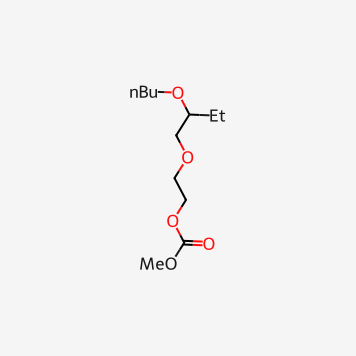 CCCCOC(CC)COCCOC(=O)OC